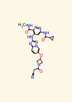 CNC(=O)c1nnc(NC(=O)C2CC2)cc1Nc1nc2ccc(OC3CN(C(=O)CC#N)C3)cn2n1